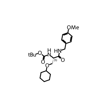 COc1ccc(CNC(=O)[C@H](COC2CCCCC2)NC(=O)OC(C)(C)C)cc1